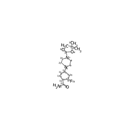 CC(C)(C)OC(=O)N1CCN(c2ccc(C(N)=O)c(F)c2)CC1